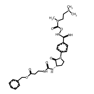 CN(C)CCN(C)C(=O)ONC(=N)c1ccc(N2CC[C@H](NC(=O)NCCC(=O)OCc3ccccc3)C2=O)cc1